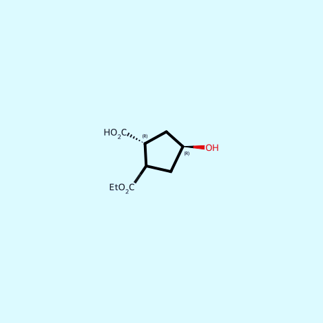 CCOC(=O)C1C[C@H](O)C[C@H]1C(=O)O